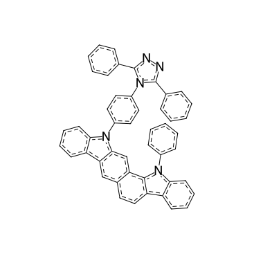 c1ccc(-c2nnc(-c3ccccc3)n2-c2ccc(-n3c4ccccc4c4cc5ccc6c7ccccc7n(-c7ccccc7)c6c5cc43)cc2)cc1